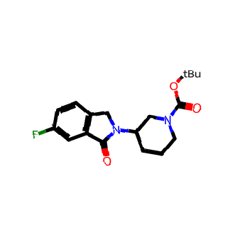 CC(C)(C)OC(=O)N1CCCC(N2Cc3ccc(F)cc3C2=O)C1